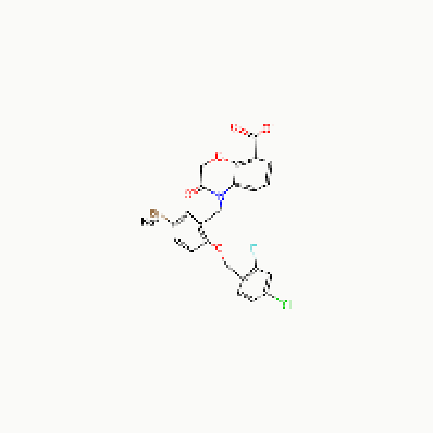 O=C([O-])c1cccc2c1OCC(=O)N2Cc1cc(Br)ccc1OCc1ccc(Cl)cc1F.[Na+]